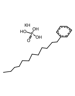 CCCCCCCCCCCCc1ccccc1.O=P(O)(O)O.[KH]